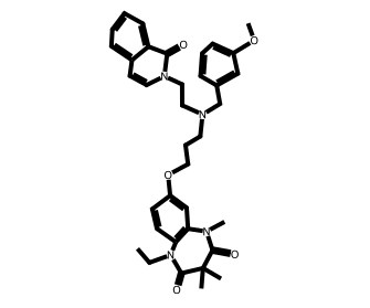 CCN1C(=O)C(C)(C)C(=O)N(C)c2cc(OCCCN(CCn3ccc4ccccc4c3=O)Cc3cccc(OC)c3)ccc21